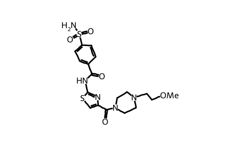 COCCN1CCN(C(=O)c2csc(NC(=O)c3ccc(S(N)(=O)=O)cc3)n2)CC1